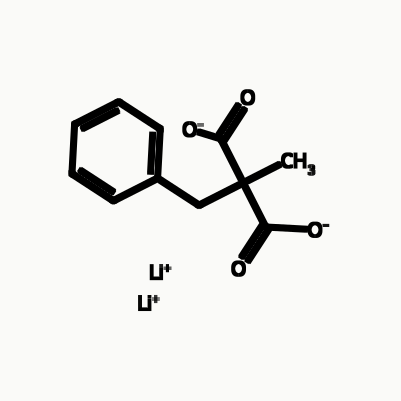 CC(Cc1ccccc1)(C(=O)[O-])C(=O)[O-].[Li+].[Li+]